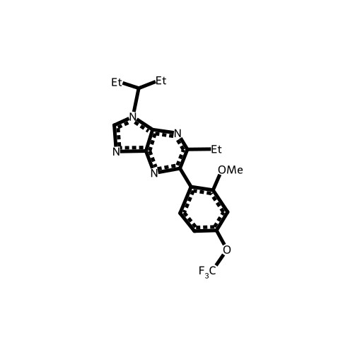 CCc1nc2c(ncn2C(CC)CC)nc1-c1ccc(OC(F)(F)F)cc1OC